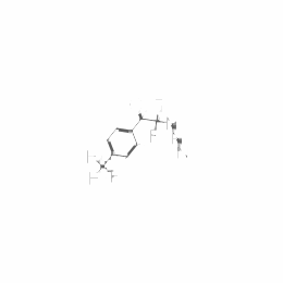 [N-]=[N+]=NC(F)(F)C(=O)c1ccc(C(F)(F)F)cc1